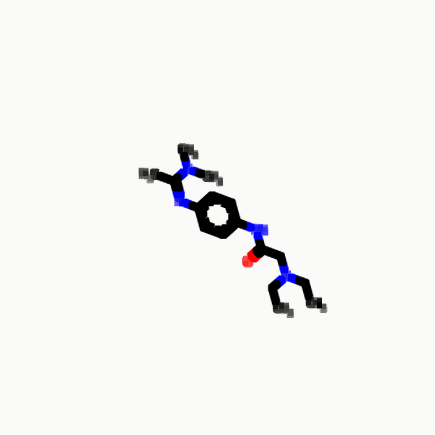 CCN(CC)CC(=O)Nc1ccc(N=C(C)N(C)C)cc1